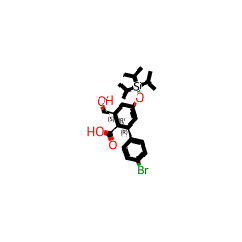 CC(C)[Si](OC1=C[C@@H](c2ccc(Br)cc2)[C@@H](C(=O)O)[C@@H](CO)C1)(C(C)C)C(C)C